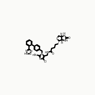 CCCCc1nc(Cl)c(CNC(=O)CCCC[C@@H]2SC[C@@H]3NC(=O)N[C@@H]32)n1Cc1ccc(-c2ccccc2-c2nn[nH]n2)cc1